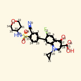 N#Cc1cc(-c2cc3c(cc2F)c(=O)c(C(=O)O)cn3C2CC2)ccc1S(=O)(=O)NC1CCOCC1